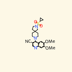 COc1cc2ncc(C#N)c(N3CCC4(CC3)CCN(S(=O)(=O)C3CC3)C4)c2cc1OC